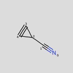 N#CC1C#C1